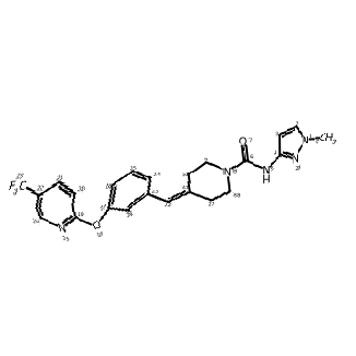 Cn1ccc(NC(=O)N2CCC(=Cc3cccc(Oc4ccc(C(F)(F)F)cn4)c3)CC2)n1